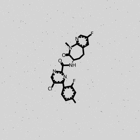 Cc1ccc(-c2nc(C(=O)N[C@H]3CCc4cc(F)cnc4N(C)C3=O)ncc2Cl)c(F)c1